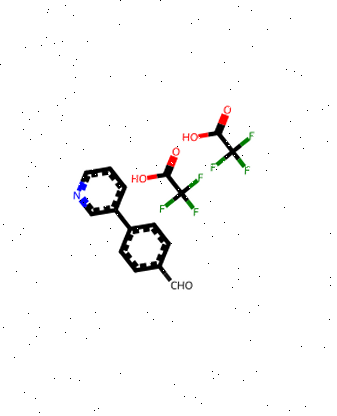 O=C(O)C(F)(F)F.O=C(O)C(F)(F)F.O=Cc1ccc(-c2cccnc2)cc1